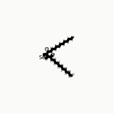 CCCCCCCCCCCCC(=O)c1c[se]cc1C(=O)CCCCCCCCCCCC